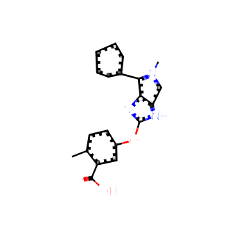 Cc1ccc(Oc2nc3c(-c4ccccc4)n(C)cc3[nH]2)cc1C(=O)O